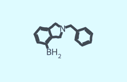 Bc1cccc2c1CN(Cc1ccccc1)C2